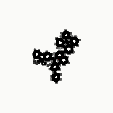 CC1(C)c2ccccc2-c2ccc(N(c3ccc(-c4cccc5c4-c4ccccc4C54c5ccccc5-c5ccccc54)cc3)c3ccc(-c4ccccc4)cc3-c3ccccc3)cc21